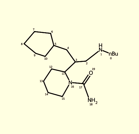 CCCCNCC(CC1CCCCC1)C1CCCCN1C(N)=O